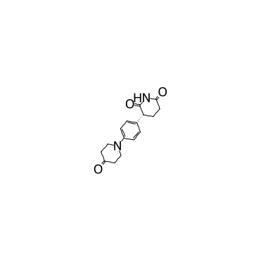 O=C1CCN(c2ccc([C@H]3CCC(=O)NC3=O)cc2)CC1